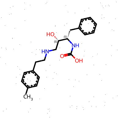 Cc1ccc(CCNC[C@H](O)[C@H](Cc2ccccc2)NC(=O)O)cc1